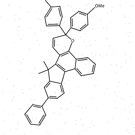 COc1ccc(C2(c3ccc(OC)cc3)C=Cc3c4c(c5ccccc5c3O2)-c2ccc(-c3ccccc3)cc2C4(C)C)cc1